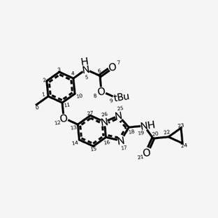 Cc1ccc(NC(=O)OC(C)(C)C)cc1Oc1ccc2nc(NC(=O)C3CC3)nn2c1